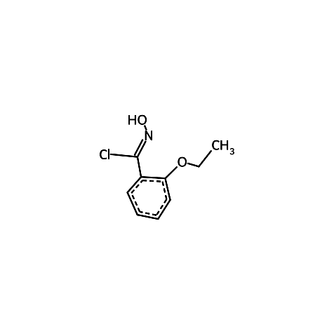 CCOc1ccccc1C(Cl)=NO